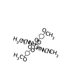 CC(=O)C1CCC(C(=O)Oc2cc(CNN3CCN(C)CC3)c(OC(=O)C3CCC(C(C)=O)CC3)cc2CNN2CCN(C)CC2)CC1